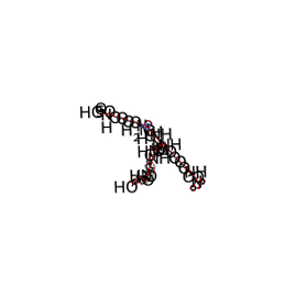 CC(C)C(NC(=O)[C@@H](CCCCNC(=O)COC1CCCCC/C(NCCOCCOCCOCCOCCC(=O)NCCS(=O)O)=C\1N)NC(=O)CCOCCOCCOCCOCCNC(=O)CCC(=O)N1Cc2ccccc2C#Cc2ccccc21)C(=O)NCC(=O)Nc1ccc2c(c1)[C@@]1(C)CCC[C@](C)(C(=O)NC(=O)[C@@]3(C)CCCC4c5cc(O)ccc5CC[C@H]43)C1CC2